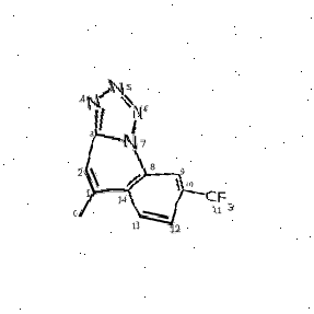 Cc1cc2nnnn2c2cc(C(F)(F)F)ccc12